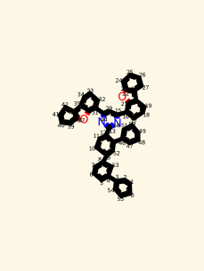 c1ccc(-c2cccc(-c3ccc(-c4nc(-c5cccc6c5oc5ccccc56)cc(-c5cccc6c5oc5ccccc56)n4)c(-c4ccccc4)c3)c2)cc1